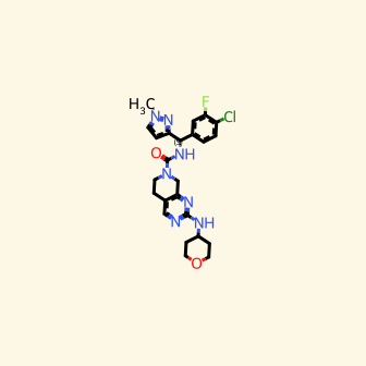 Cn1ccc([C@@H](NC(=O)N2CCc3cnc(NC4CCOCC4)nc3C2)c2ccc(Cl)c(F)c2)n1